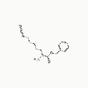 CN(CCCCCN=C=O)C(=O)OCc1ccccc1